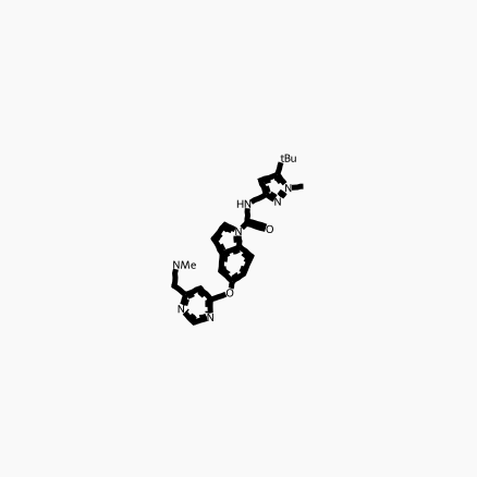 CNCc1cc(Oc2ccc3c(ccn3C(=O)Nc3cc(C(C)(C)C)n(C)n3)c2)ncn1